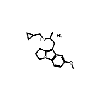 COc1ccc2c(c1)c(CC(C)NCC1CC1)c1n2CCC1.Cl